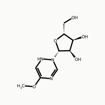 COC1=CNN([C@@H]2O[C@H](CO)[C@@H](O)[C@H]2O)C=N1